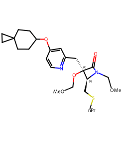 CCCSC[C@@H]1N(COC)C(=O)[C@]1(Cc1cc(OC2CCC3(CC2)CC3)ccn1)OCOC